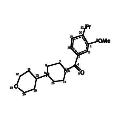 COc1cc(C(=O)N2CCN(C3CCOCC3)CC2)ccc1C(C)C